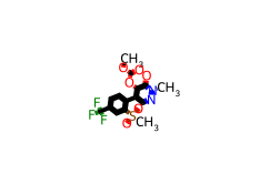 COC(=O)Oc1c(-c2ccc(C(F)(F)F)cc2S(C)(=O)=O)cnn(C)c1=O